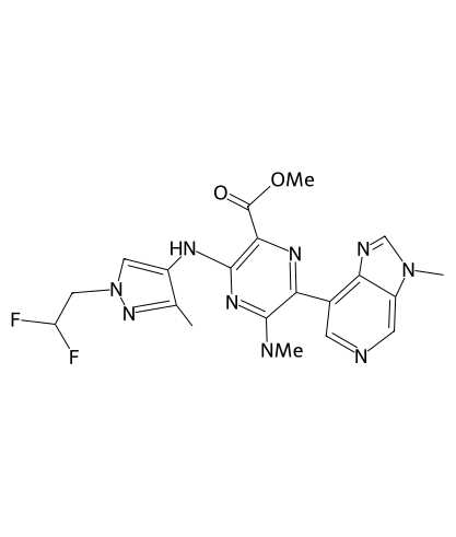 CNc1nc(Nc2cn(CC(F)F)nc2C)c(C(=O)OC)nc1-c1cncc2c1ncn2C